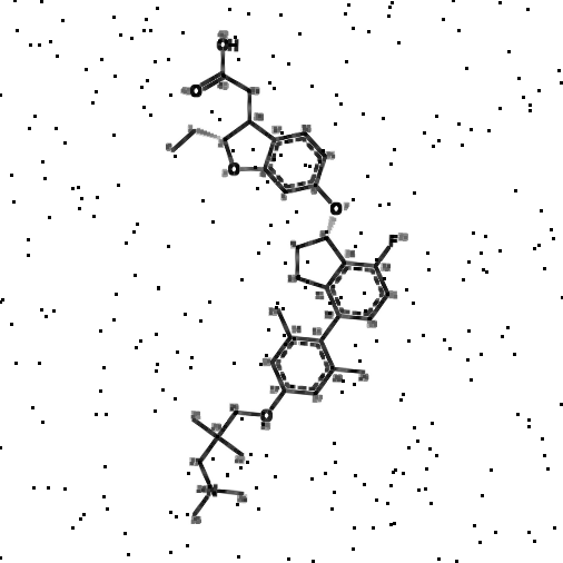 CC[C@H]1Oc2cc(O[C@H]3CCc4c(-c5c(C)cc(OCC(C)(C)CN(C)C)cc5C)ccc(F)c43)ccc2C1CC(=O)O